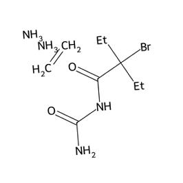 C=C.CCC(Br)(CC)C(=O)NC(N)=O.N.N